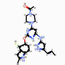 C/C=C/c1cc(Nc2cc(N3CCN(C(C)=O)CC3)nc(Oc3ccc4[nH]c(C)cc4c3F)n2)n[nH]1